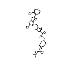 Cc1cc(C(=O)NCC2CCN(C(=O)OC(C)(C)C)CC2)nn1Cc1cc(Cl)cc2cc(-c3ccccc3Cl)oc12